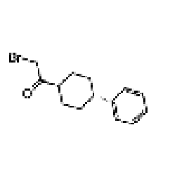 O=C(CBr)[C@H]1CC[C@H](c2ccccc2)CC1